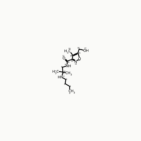 CCCCNC(C)(C)CNC(=O)c1noc(CO)c1C